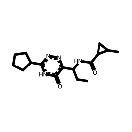 CCC(NC(=O)C1CC1C)c1nnc(C2CCCC2)[nH]c1=O